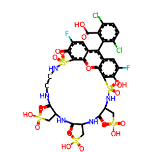 O=C(O)c1c(Cl)ccc(Cl)c1-c1c2cc(F)c(=O)c3c-2oc2c(c(O)c(F)cc12)S(=O)(=O)NC(CS(=O)(=O)O)C(=O)NC(CS(=O)(=O)O)C(=O)NC(CS(=O)(=O)O)C(=O)NCCNS3(=O)=O